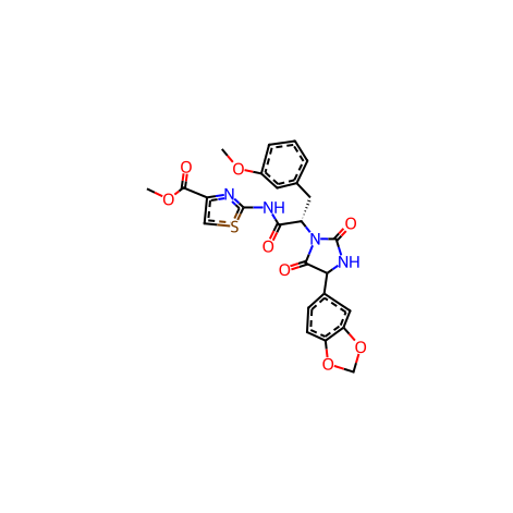 COC(=O)c1csc(NC(=O)[C@H](Cc2cccc(OC)c2)N2C(=O)NC(c3ccc4c(c3)OCO4)C2=O)n1